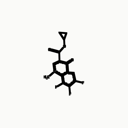 Cn1cc(C(=O)OC2CC2)c(=O)c2cc(F)c(F)c(F)c21